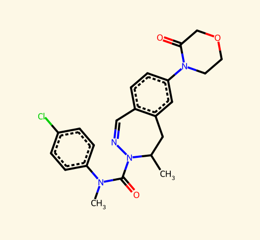 CC1Cc2cc(N3CCOCC3=O)ccc2C=NN1C(=O)N(C)c1ccc(Cl)cc1